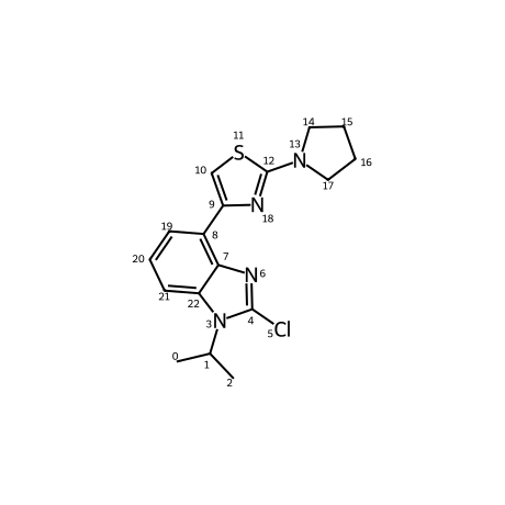 CC(C)n1c(Cl)nc2c(-c3csc(N4CCCC4)n3)cccc21